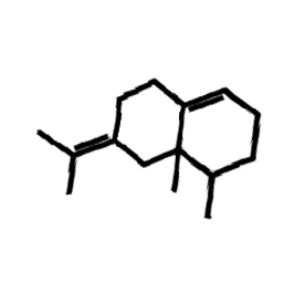 CC(C)=C1CCC2=CCCC(C)C2(C)C1